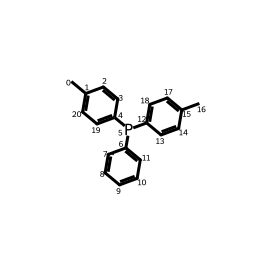 Cc1ccc(P(c2[c]cccc2)c2ccc(C)cc2)cc1